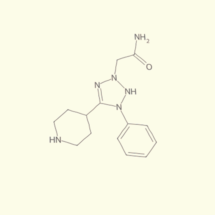 NC(=O)CN1N=C(C2CCNCC2)N(c2ccccc2)N1